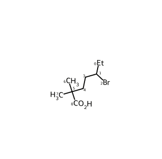 CCC(Br)CCC(C)(C)C(=O)O